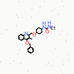 CCNC(=O)NC1CCC(OCc2nc3ccccc3c(OCc3ccccc3)c2C)CC1